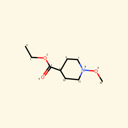 CCOC(=O)C1CCN(OC)CC1